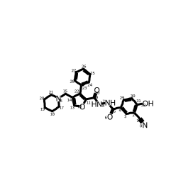 N#Cc1cc(C(=O)NNC(=O)c2occ(CN3CCCCC3)c2-c2ccccc2)ccc1O